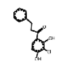 O=C(CCc1ccccc1)c1ccc(O)c(Cl)c1O